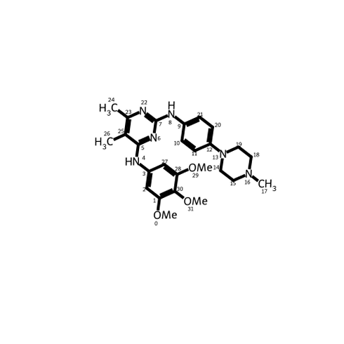 COc1cc(Nc2nc(Nc3ccc(N4CCN(C)CC4)cc3)nc(C)c2C)cc(OC)c1OC